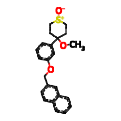 COC1(c2cccc(OCc3ccc4ccccc4c3)c2)CC[S+]([O-])CC1